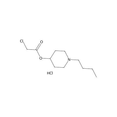 CCCCN1CCC(OC(=O)CCl)CC1.Cl